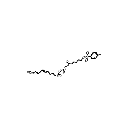 CCCCCCCCCCCCCCCCC[C@@H]1OC[C@@H](COC(=O)CCCCCOS(=O)(=O)c2ccc(C)cc2)O1